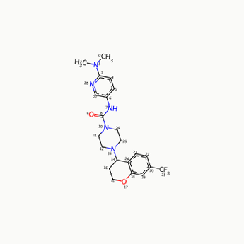 CN(C)c1ccc(NC(=O)N2CCN(C3CCOc4cc(C(F)(F)F)ccc43)CC2)cn1